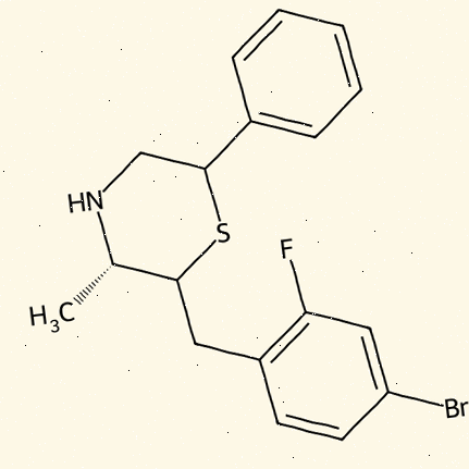 C[C@@H]1NCC(c2ccccc2)SC1Cc1ccc(Br)cc1F